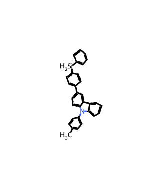 Cc1ccc(-n2c3ccccc3c3cc(-c4ccc([SiH2]c5ccccc5)cc4)ccc32)cc1